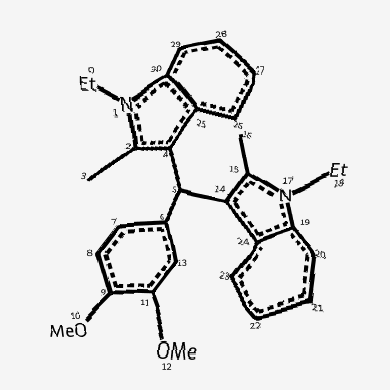 CCn1c(C)c(C(c2ccc(OC)c(OC)c2)c2c(C)n(CC)c3ccccc23)c2ccccc21